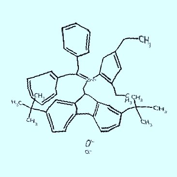 CCC1=CC(CC)=[C]([Zr+2](=[C](c2ccccc2)c2ccccc2)[CH]2c3cc(C(C)(C)C)ccc3-c3ccc(C(C)(C)C)cc32)C1.[Cl-].[Cl-]